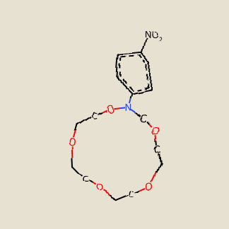 O=[N+]([O-])c1ccc(N2COCCOCCOCCOCCO2)cc1